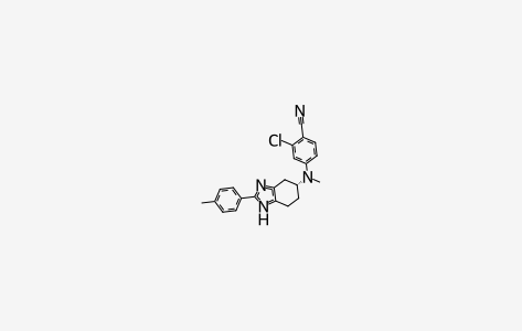 Cc1ccc(-c2nc3c([nH]2)CC[C@@H](N(C)c2ccc(C#N)c(Cl)c2)C3)cc1